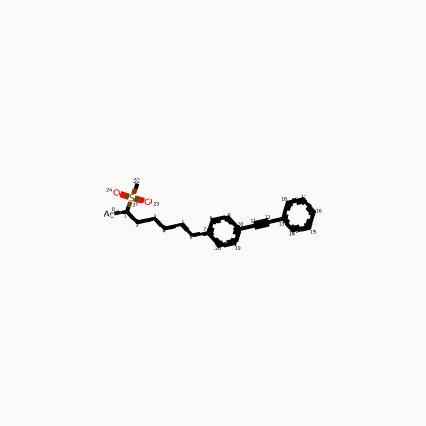 CC(=O)C(CCCCCc1ccc(C#Cc2ccccc2)cc1)S(C)(=O)=O